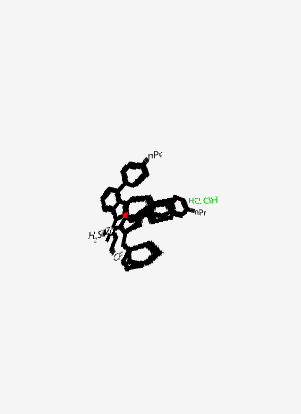 CCCc1ccc(-c2cccc3c2C=C(CC24CCC(CC2)C4)[CH]3[Zr]([CH3])(=[SiH2])([CH2]CC(F)(F)F)[CH]2C(CC34CCC(CC3)C4)=Cc3c(-c4ccc(CCC)cc4)cccc32)cc1.Cl.Cl